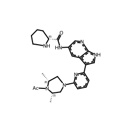 CC(=O)N1[C@H](C)CN(c2cccc(-c3c[nH]c4ncc(NC(=O)[C@H]5CCCCN5)cc34)n2)C[C@@H]1C